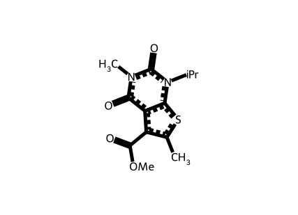 COC(=O)c1c(C)sc2c1c(=O)n(C)c(=O)n2C(C)C